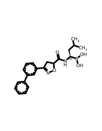 CC(C)C[C@H](NC(=O)C1CC(c2cccc(-c3ccccc3)c2)=NO1)B(O)O